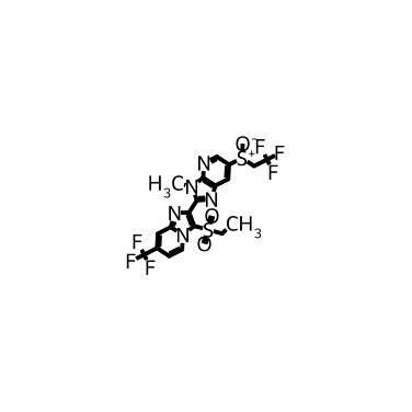 CCS(=O)(=O)c1c(-c2nc3cc([S+]([O-])CC(F)(F)F)cnc3n2C)nc2cc(C(F)(F)F)ccn12